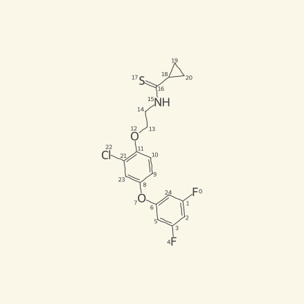 Fc1cc(F)cc(Oc2ccc(OCCNC(=S)C3CC3)c(Cl)c2)c1